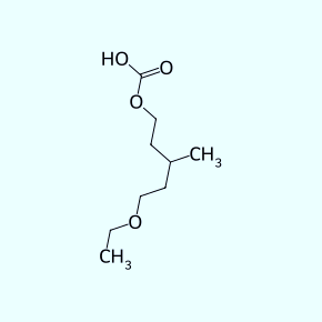 CCOCCC(C)CCOC(=O)O